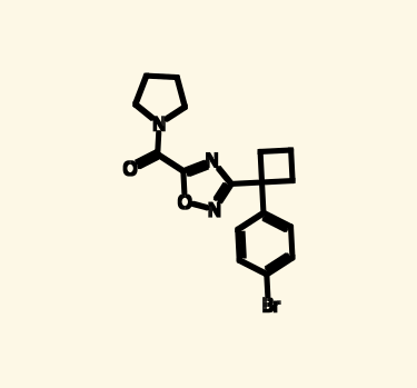 O=C(c1nc(C2(c3ccc(Br)cc3)CCC2)no1)N1CCCC1